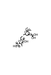 CCC(OC(CC)S(=O)(=O)O)S(=O)(=O)O.CO[Si]1(OC)CCCC(C)O1.OB(O)O